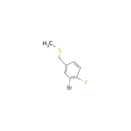 CSCc1ccc(F)c(Br)c1